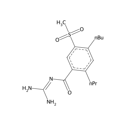 CCCCc1cc(CCC)c(C(=O)N=C(N)N)cc1S(C)(=O)=O